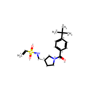 C=CS(=O)(=O)NC[C@H]1CCN(C(=O)c2ccc(C(C)(C)C)cc2)C1